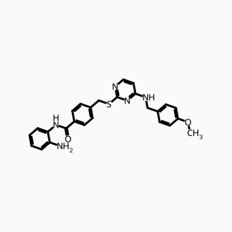 COc1ccc(CNc2ccnc(SCc3ccc(C(=O)Nc4ccccc4N)cc3)n2)cc1